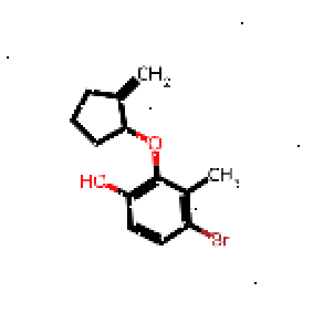 C=C1CCCC1Oc1c(O)ccc(Br)c1C